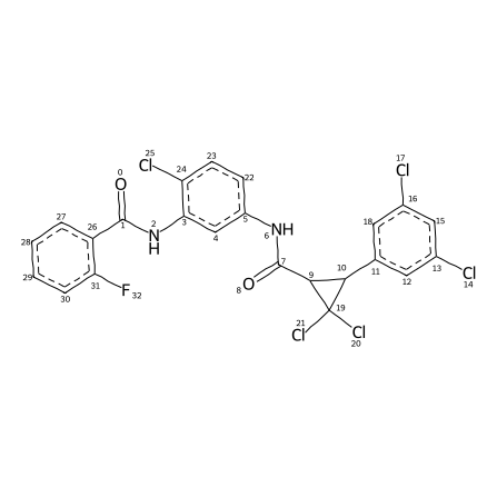 O=C(Nc1cc(NC(=O)C2C(c3cc(Cl)cc(Cl)c3)C2(Cl)Cl)ccc1Cl)c1ccccc1F